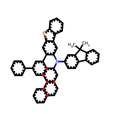 CC1(C)c2ccccc2-c2ccc(N(c3ccc(-c4ccccc4)cc3)c3cc4c(cc3-c3cc(-c5ccccc5)cc(-c5ccccc5)c3)sc3ccccc34)cc21